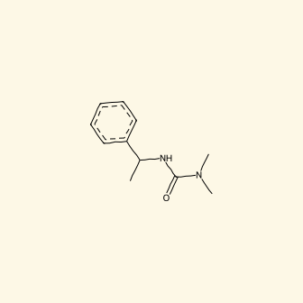 CC(NC(=O)N(C)C)c1ccccc1